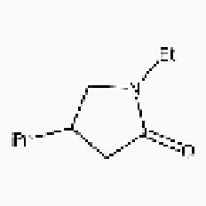 CCN1CC(C(C)C)CC1=O